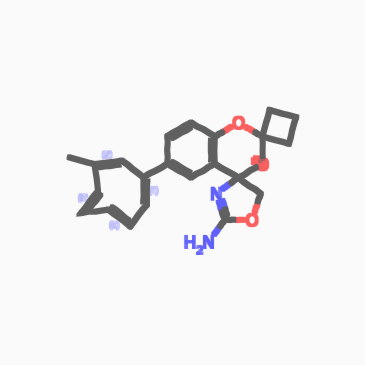 CC1=C/C(c2ccc3c(c2)C2(COC(N)=N2)C2(COC2)C2(CCC2)O3)=C\C=C\C=C\1